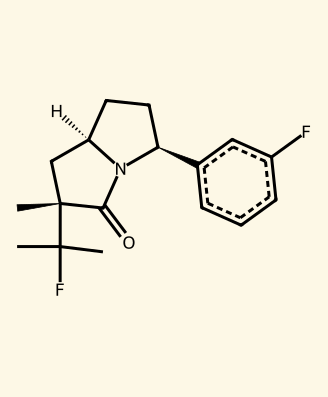 CC(C)(F)[C@]1(C)C[C@H]2CC[C@@H](c3cccc(F)c3)N2C1=O